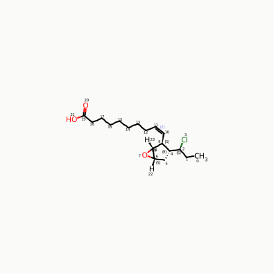 CC[C@H](Cl)[C@@H]1C[C@@H]2O[C@@H]2[C@H]1/C=C\CCCCCCCC(=O)O